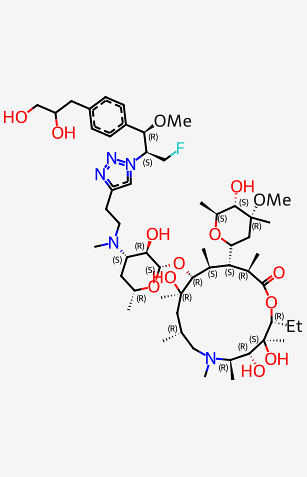 CC[C@H]1OC(=O)[C@H](C)[C@@H](C2C[C@@](C)(OC)[C@@H](O)[C@H](C)O2)[C@H](C)[C@@H](O[C@@H]2O[C@H](C)C[C@H](N(C)CCc3cn([C@H](CF)[C@H](OC)c4ccc(CC(O)CO)cc4)nn3)[C@H]2O)[C@](C)(O)C[C@@H](C)CN(C)[C@H](C)[C@@H](O)[C@]1(C)O